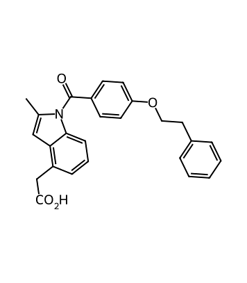 Cc1cc2c(CC(=O)O)cccc2n1C(=O)c1ccc(OCCc2ccccc2)cc1